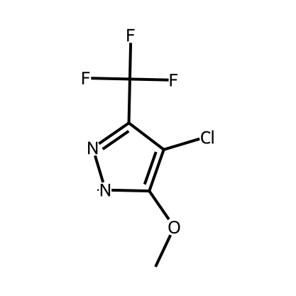 COC1=C(Cl)C(C(F)(F)F)=N[N]1